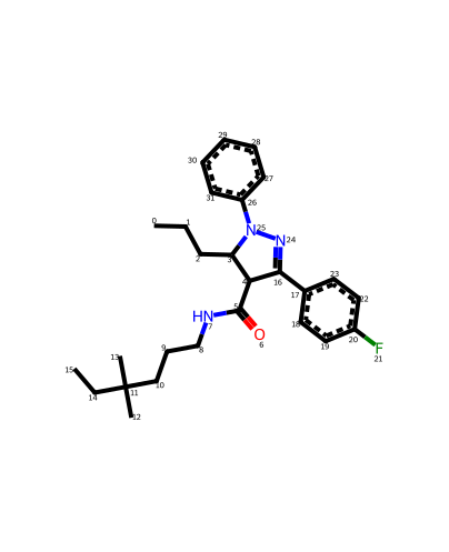 CCCC1C(C(=O)NCCCC(C)(C)CC)C(c2ccc(F)cc2)=NN1c1ccccc1